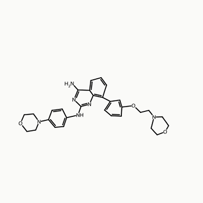 Nc1nc(Nc2ccc(N3CCOCC3)cc2)nc2c(-c3cccc(OCCN4CCOCC4)c3)cccc12